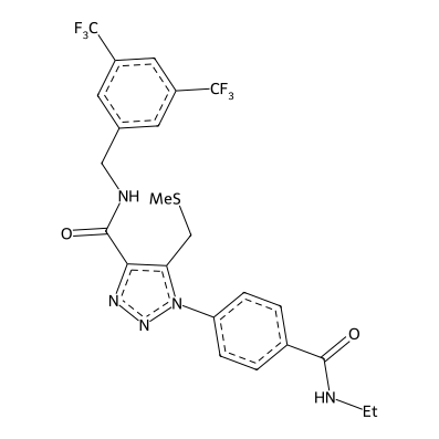 CCNC(=O)c1ccc(-n2nnc(C(=O)NCc3cc(C(F)(F)F)cc(C(F)(F)F)c3)c2CSC)cc1